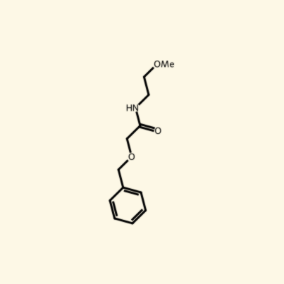 COCCNC(=O)COCc1ccccc1